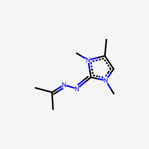 CC(C)=NN=c1n(C)cc(C)n1C